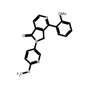 COc1ccccc1-c1nccc2c1CN(c1ccc(OC(F)(F)F)nc1)C2=O